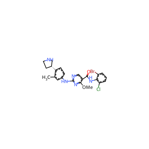 COc1nc(Nc2ccc([C@@H]3CCNC3)c(C)c2)ncc1C(=O)Nc1c(Cl)cccc1Br